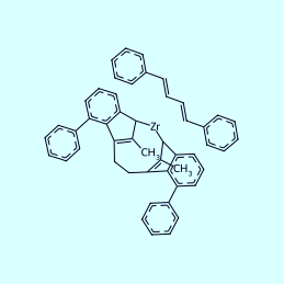 C(C=Cc1ccccc1)=Cc1ccccc1.CC1=C2CCC3=C(C)[CH]([Zr][CH]1c1cccc(-c4ccccc4)c12)c1cccc(-c2ccccc2)c13